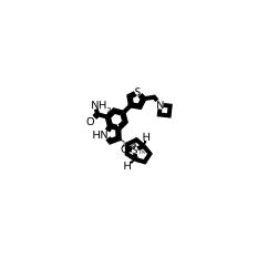 NC(=O)c1cc(-c2csc(CN3CCC3)c2)cc2c([C@H]3C[C@H]4CC[C@@H](C3)S4(=O)=O)c[nH]c12